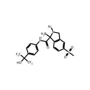 BC1(C(=O)Nc2ccc(C(O)(C(F)(F)F)C(F)(F)F)cc2)c2ccc(S(C)(=O)=O)cc2CN1C(C)=O